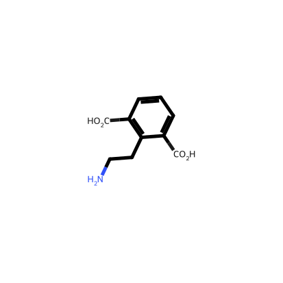 NCCc1c(C(=O)O)cccc1C(=O)O